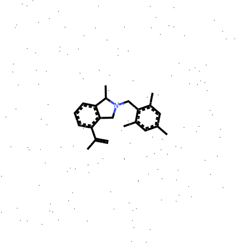 C=C(C)c1cccc2c1CN(Cc1c(C)cc(C)cc1C)C2C